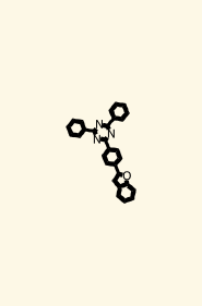 c1ccc(-c2nc(-c3ccccc3)nc(-c3ccc(-c4cc5ccccc5o4)cc3)n2)cc1